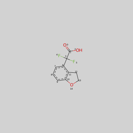 O=C(O)C(F)(F)c1cccc2c1CCO2